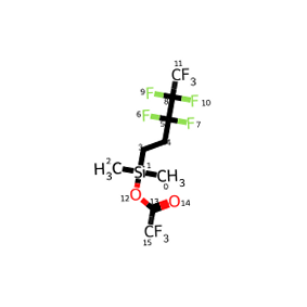 C[Si](C)(CCC(F)(F)C(F)(F)C(F)(F)F)OC(=O)C(F)(F)F